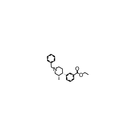 CCOC(=O)c1cccc([C@H]2CCN(Cc3ccccc3)C[C@@H]2C)c1